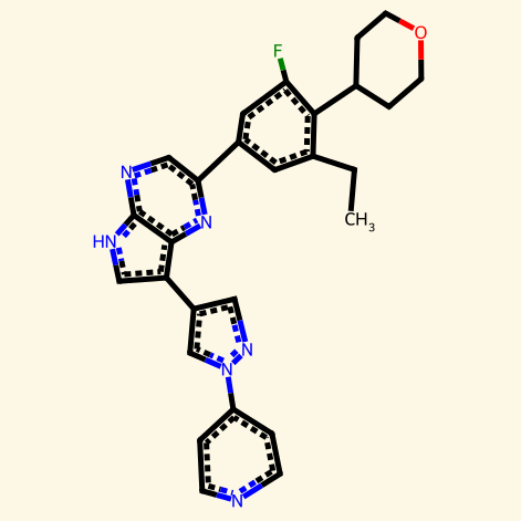 CCc1cc(-c2cnc3[nH]cc(-c4cnn(-c5ccncc5)c4)c3n2)cc(F)c1C1CCOCC1